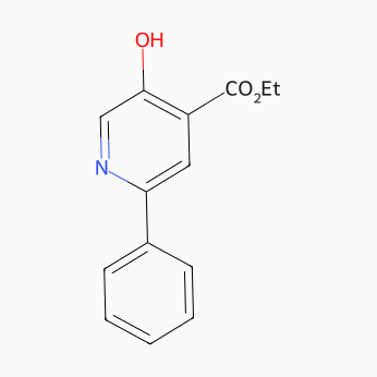 CCOC(=O)c1cc(-c2ccccc2)ncc1O